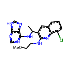 COCCNc1nc2c(Cl)cccc2cc1C(C)Nc1ncnc2[nH]cnc12